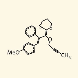 CC#CCOC(=C1SCCCS1)/C(=C/c1ccc(OC)cc1)c1ccccc1